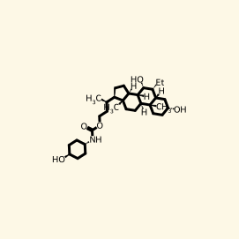 CC[C@H]1[C@@H](O)[C@@H]2[C@H](CC[C@]3(C)[C@@H]([C@H](C)CCOC(=O)N[C@H]4CC[C@H](O)CC4)CC[C@@H]23)[C@@]2(C)CC[C@@H](O)C[C@@H]12